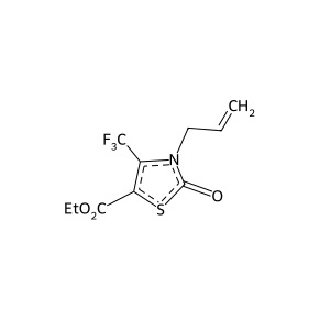 C=CCn1c(C(F)(F)F)c(C(=O)OCC)sc1=O